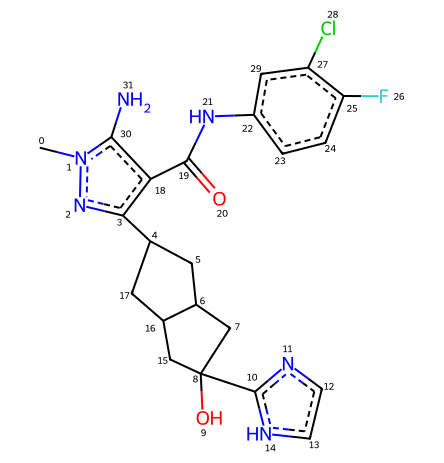 Cn1nc(C2CC3CC(O)(c4ncc[nH]4)CC3C2)c(C(=O)Nc2ccc(F)c(Cl)c2)c1N